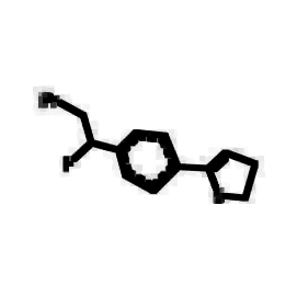 CC(C)CC(F)c1ccc(C2=CCCS2)cc1